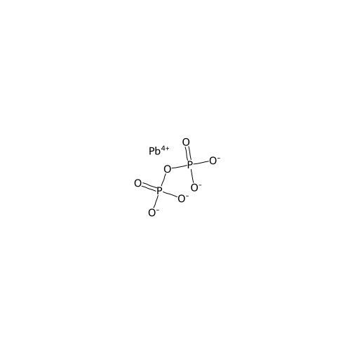 O=P([O-])([O-])OP(=O)([O-])[O-].[Pb+4]